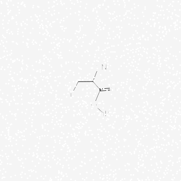 CC(C)CC(C#N)C(=O)OC(C)C